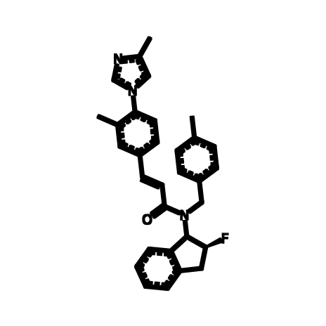 Cc1ccc(CN(C(=O)/C=C/c2ccc(-n3cnc(C)c3)c(C)c2)C2c3ccccc3C[C@@H]2F)cc1